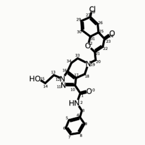 O=C(NCc1ccccc1)c1nn(CCO)c2c1CN(CC1=CC(=O)C3C=C(Cl)C=CC3O1)CC2